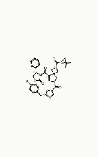 CC1(C)C[C@@H]1C(=O)N1CC2(CN(C(=O)c3cnn(Cc4ccc(F)cc4)c3)C[C@H]2C(=O)N2C(=O)OC[C@H]2c2ccccc2)C1